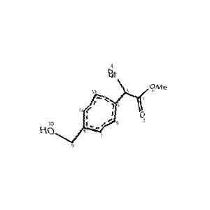 COC(=O)C(Br)c1ccc(CO)cc1